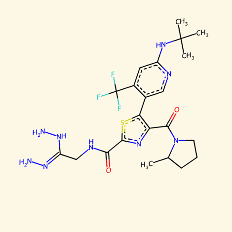 CC1CCCN1C(=O)c1nc(C(=O)NC/C(=N/N)NN)sc1-c1cnc(NC(C)(C)C)cc1C(F)(F)F